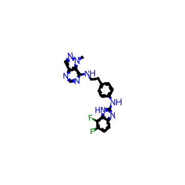 Cn1ncc2ncnc(NCCc3ccc(Nc4nc5ccc(F)c(F)c5[nH]4)cc3)c21